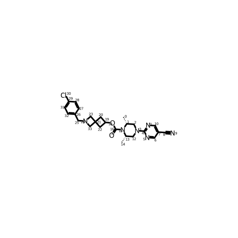 C[C@@H]1CN(c2ncc(C#N)cn2)C[C@H](C)N1C(=O)OC1CC2(C1)CN(Cc1ccc(Cl)cc1)C2